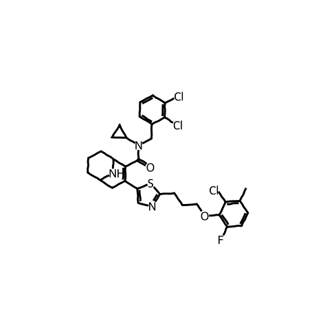 Cc1ccc(F)c(OCCCc2ncc(C3=C(C(=O)N(Cc4cccc(Cl)c4Cl)C4CC4)C4CCCC(C3)N4)s2)c1Cl